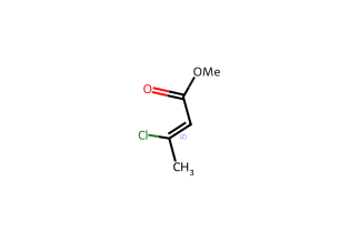 COC(=O)/C=C(/C)Cl